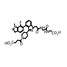 Cn1ncc2ccc(-c3cccc4c3c(C3CCN(C(=O)CCC(=O)O)CC3)nn4CC(=O)NCC(=O)NCC(=O)O)c(F)c21